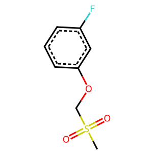 CS(=O)(=O)COc1cccc(F)c1